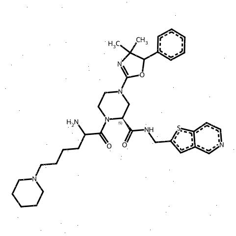 CC1(C)N=C(N2CCN(C(=O)C(N)CCCCN3CCCCC3)[C@H](C(=O)NCc3cc4cnccc4s3)C2)OC1c1ccccc1